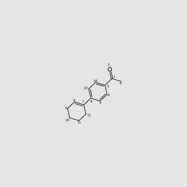 CC(=O)c1ccc(C2=CCCCC2)cc1